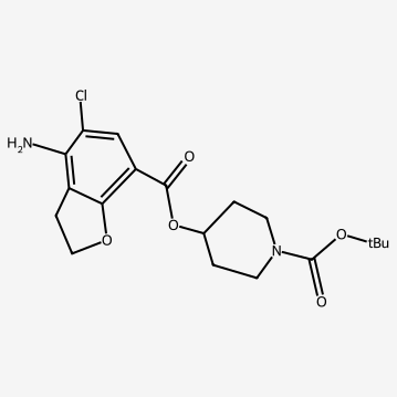 CC(C)(C)OC(=O)N1CCC(OC(=O)c2cc(Cl)c(N)c3c2OCC3)CC1